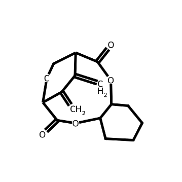 C=C1C(=C)C2CCC1C(=O)OC1CCCCC1OC2=O